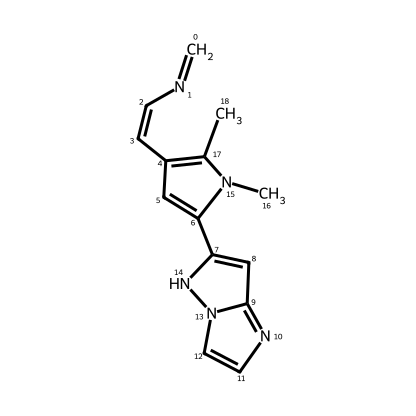 C=N/C=C\c1cc(-c2cc3nccn3[nH]2)n(C)c1C